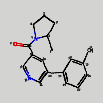 CC1CCCN1C(=O)c1cncc(-c2cccc(C#N)c2)c1